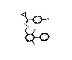 Fc1ccc(CON=C(c2ccc(Cl)cc2)C2CC2)c(F)c1-c1ccccc1